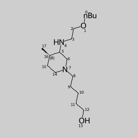 CCCCOCCNC1CN(CCCCCO)CC[C@H]1C